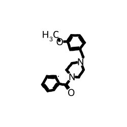 COc1cccc(CN2CCN(C(=O)c3[c]cccc3)CC2)c1